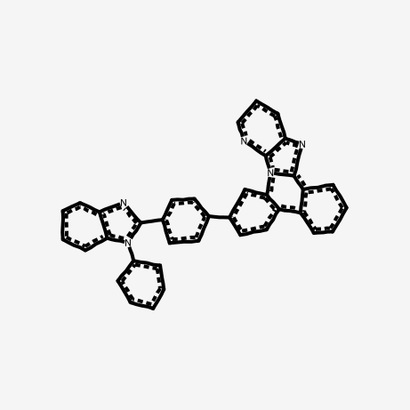 c1ccc(-n2c(-c3ccc(-c4ccc5c6ccccc6c6nc7cccnc7n6c5c4)cc3)nc3ccccc32)cc1